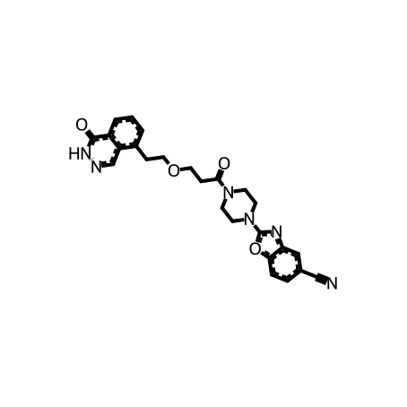 N#Cc1ccc2oc(N3CCN(C(=O)CCOCCc4cccc5c(=O)[nH]ncc45)CC3)nc2c1